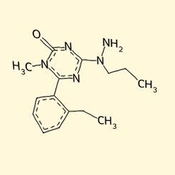 CCCN(N)c1nc(-c2ccccc2CC)n(C)c(=O)n1